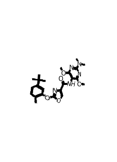 COc1nc(N(C)C)nc(OC)c1NC(=O)c1coc(Oc2cc(C(C)(C)C)ccc2C)n1